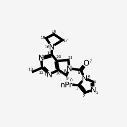 CCCc1cncn1C(=O)N1Cc2nc(C)nc(N3CCC3)c2C1